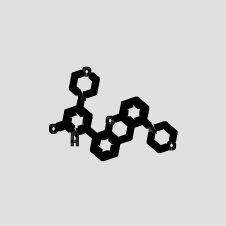 O=c1cc(N2CCOCC2)cc(-c2cccc3c2Oc2cccc(N4CCOCC4)c2C3)[nH]1